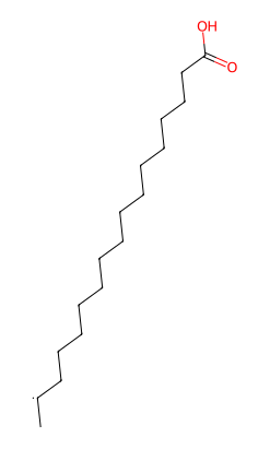 C[CH]CCCCCCCCCCCCCCC(=O)O